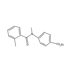 CCOC(=O)c1ccc(N(C)C(=O)c2ccccc2C)cc1